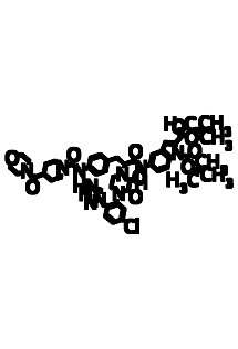 CC(C)(C)OC(=O)c1cc2cc(NC(=O)[C@H](Cc3ccc(NC(=O)N4CCC(C(=O)N5CCOCC5)CC4)cc3)N3CCN(c4cc(Cl)ccc4-n4cnnn4)C(=O)C3=O)ccc2n1C(=O)OC(C)(C)C